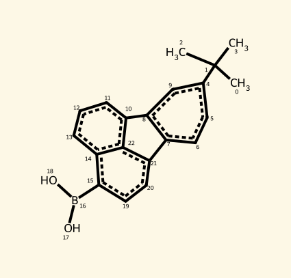 CC(C)(C)c1ccc2c(c1)-c1cccc3c(B(O)O)ccc-2c13